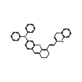 C(=CC1=C2Oc3cc(N(c4ccccc4)c4ccccc4)ccc3C=C2CCC1)C1=CCc2ccccc2[Se]1